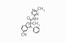 Cc1nsc(NC(=O)[C@@]2(C)Cc3ccc(C#N)cc3[C@H]2c2ccccc2)n1